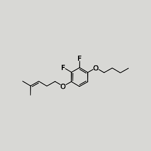 CCCCOc1ccc(OCCC=C(C)C)c(F)c1F